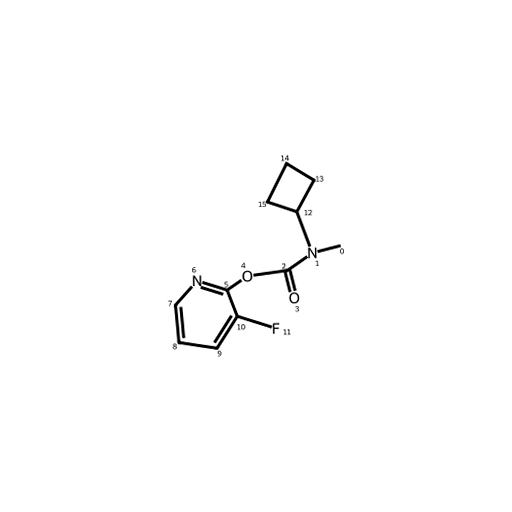 CN(C(=O)Oc1ncccc1F)C1CCC1